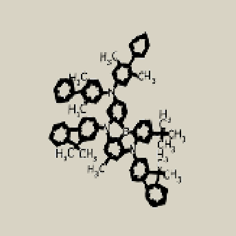 Cc1cc2c3c(c1)N(c1ccc4c(c1)C(C)(C)c1ccccc1-4)c1cc(C(C)(C)C)ccc1B3c1ccc(N(c3cc(C)c(-c4ccccc4)c(C)c3)c3cc(C)c(-c4ccccc4)c(C)c3)cc1N2c1ccc2c(c1)C(C)(C)c1ccccc1-2